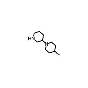 FC1CCN(C2CCCNC2)CC1